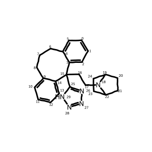 c1ccc2c(c1)CCCc1ccccc1C2(CCN1C2CCC1CC2)c1nnn[nH]1